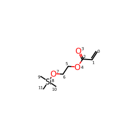 C=CC(=O)OCCO[Si](C)(C)C